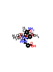 COc1ccc(CN(C(=O)[C@H](Cc2c(C)cc(C(N)=O)cc2C)NC(=O)OC(C)(C)C)[C@@H](C)c2nc(-c3cccc(C(=O)O)c3)c[nH]2)cc1C